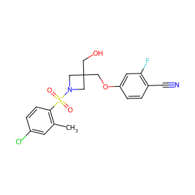 Cc1cc(Cl)ccc1S(=O)(=O)N1CC(CO)(COc2ccc(C#N)c(F)c2)C1